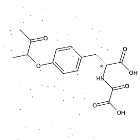 CC(=O)C(C)Oc1ccc(C[C@@H](NC(=O)C(=O)O)C(=O)O)cc1